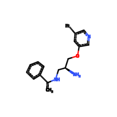 C=C(NC[C@H](N)COc1cncc(CC)c1)c1ccccc1